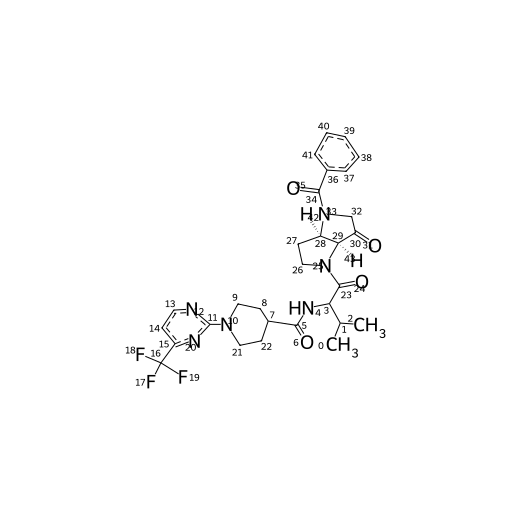 CC(C)C(NC(=O)C1CCN(c2nccc(C(F)(F)F)n2)CC1)C(=O)N1CC[C@@H]2[C@H]1C(=O)CN2C(=O)c1ccccc1